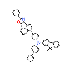 CC1(C)c2ccccc2-c2ccc(N(c3ccc(-c4ccccc4)cc3)c3ccc(-c4ccc5c6c(cccc46)-c4oc(-c6ccccc6)nc4-5)cc3)cc21